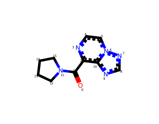 O=C(c1nccn2ncnc12)N1CCCC1